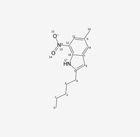 CCCCCc1cc2cc(C)cc([N+](=O)[O-])c2[nH]1